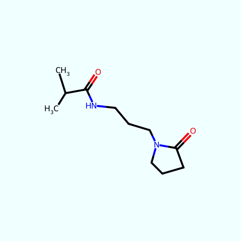 CC(C)C(=O)NCCCN1CCCC1=O